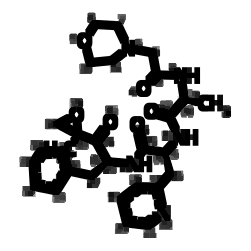 C[C@H](NC(=O)CN1CCOCC1)C(=O)N[C@@H](Cc1ccccn1)C(=O)N[C@@H](Cc1ccccc1)C(=O)[C@]1(C)CO1